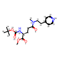 COC(=O)[C@H](CCC(=O)N(C)CCc1ccncc1)NC(=O)OC(C)(C)C